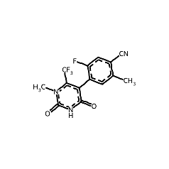 Cc1cc(-c2c(C(F)(F)F)n(C)c(=O)[nH]c2=O)c(F)cc1C#N